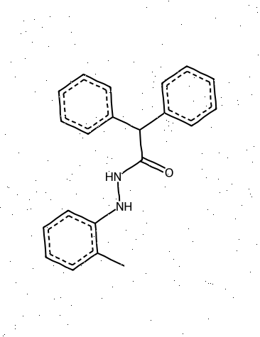 Cc1ccccc1NNC(=O)C(c1ccccc1)c1ccccc1